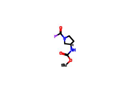 CC(C)(C)OC(=O)N[C@@H]1CCN(C(=O)I)C1